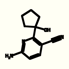 N#Cc1ccc(N)nc1C1(O)CCCC1